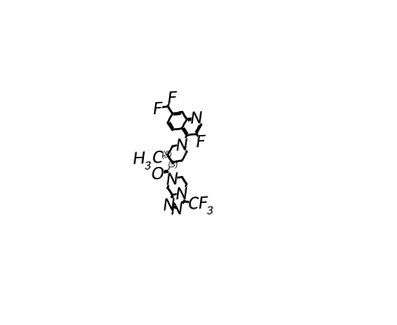 C[C@@H]1CN(c2c(F)cnc3cc(C(F)F)ccc23)CC[C@@H]1C(=O)N1CCn2c(nnc2C(F)(F)F)C1